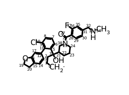 [CH2]CCC(O)(c1cccc(Cl)c1-c1ccc2c(c1)OCC2)C1CCCN(C(=O)c2ccc(CNC)cc2F)C1